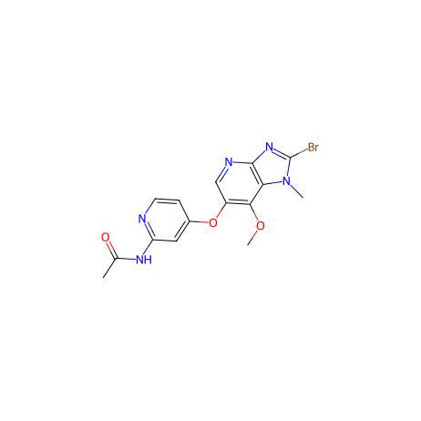 COc1c(Oc2ccnc(NC(C)=O)c2)cnc2nc(Br)n(C)c12